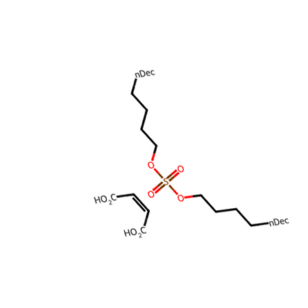 CCCCCCCCCCCCCCOS(=O)(=O)OCCCCCCCCCCCCCC.O=C(O)/C=C\C(=O)O